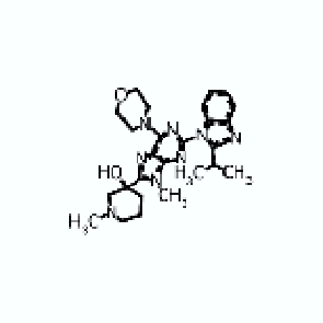 CC(C)c1nc2ccccc2n1-c1nc(N2CCOCC2)c2nc(C3(O)CCCN(C)C3)n(C)c2n1